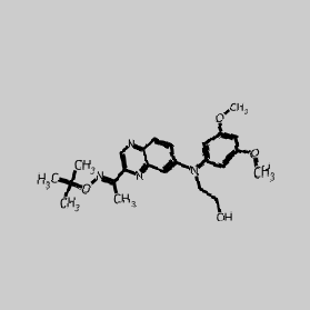 COc1cc(OC)cc(N(CCO)c2ccc3ncc(/C(C)=N/OC(C)(C)C)nc3c2)c1